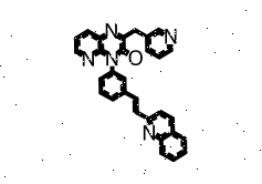 O=c1c(Cc2cccnc2)nc2cccnc2n1-c1cccc(C=Cc2ccc3ccccc3n2)c1